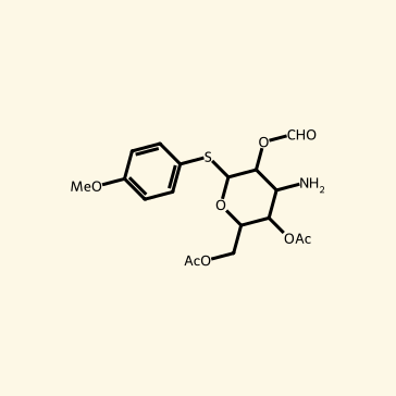 COc1ccc(SC2OC(COC(C)=O)C(OC(C)=O)C(N)C2OC=O)cc1